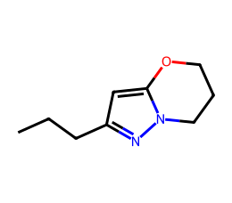 CCCc1cc2n(n1)CCCO2